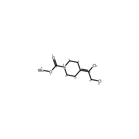 CC(C)(C)OC(=O)N1CCC(=C(Cl)CCl)CC1